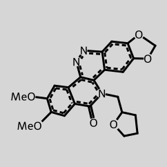 COc1cc2c(=O)n(CC3CCCO3)c3c4cc5c(cc4nnc3c2cc1OC)OCO5